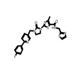 Cc1nc(N2CCN(Cc3ccc(-c4ccc(F)cc4)nc3)C2=O)sc1C(=O)NCc1nccs1